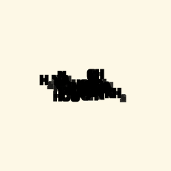 Nc1ncnc2c1ncn2[C@@H]1O[C@H](COP(=O)(O)OC2C(O)[C@@H](CO)O[C@H]2n2cnc3c(N)ncnc32)C(=O)C1O